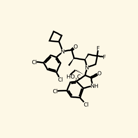 C[C@@H](C(=O)N(c1cc(Cl)cc(Cl)c1)C1CCC1)[C@H]1CC(F)(F)CN1[C@@]1(CC(=O)O)C(=O)Nc2c(Cl)cc(Cl)cc21